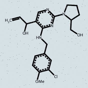 C=CC(O)c1cnc(N2CCCC2CO)nc1NCc1ccc(OC)c(Cl)c1